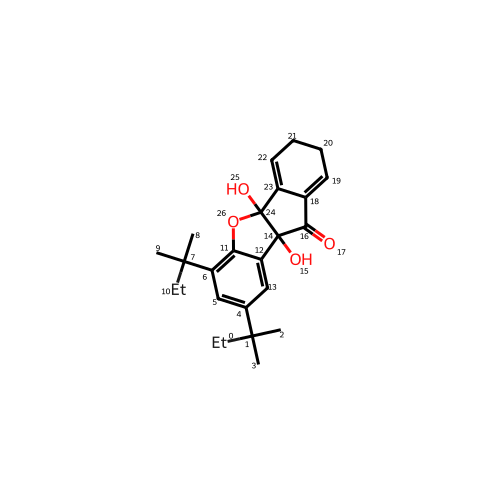 CCC(C)(C)c1cc(C(C)(C)CC)c2c(c1)C1(O)C(=O)C3=CCCC=C3C1(O)O2